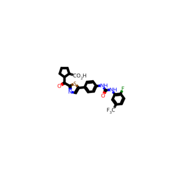 O=C(Nc1ccc(-c2cnc(C(=O)C3CCCC3C(=O)O)s2)cc1)Nc1cc(C(F)(F)F)ccc1F